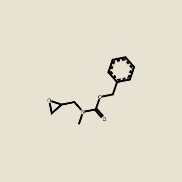 CN(CC1CO1)C(=O)OCc1ccccc1